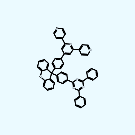 c1ccc(-c2nc(-c3ccccc3)nc(-c3ccc(C4(c5ccc(-c6cc(-c7ccncc7)nc(-c7ccncc7)c6)cc5)c5ccccc5Oc5ccccc54)cc3)n2)cc1